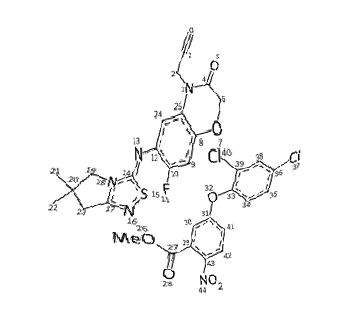 C#CCN1C(=O)COc2cc(F)c(/N=c3\snc4n3CC(C)(C)C4)cc21.COC(=O)c1cc(Oc2ccc(Cl)cc2Cl)ccc1[N+](=O)[O-]